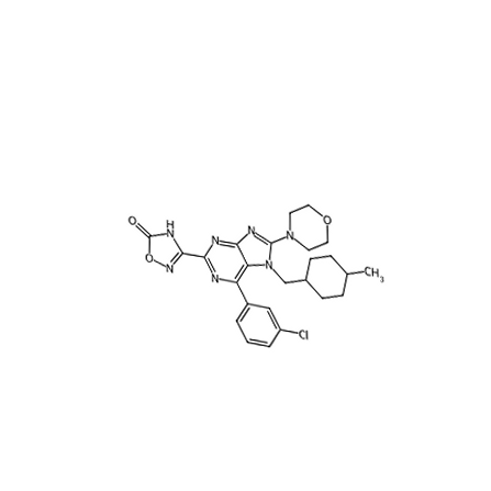 CC1CCC(Cn2c(N3CCOCC3)nc3nc(-c4noc(=O)[nH]4)nc(-c4cccc(Cl)c4)c32)CC1